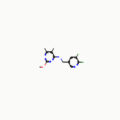 CCOc1nc(C)c([N+](=O)[O-])c(NCc2cnc(Cl)c(F)c2)n1